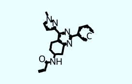 C=CC(=O)NC1CCc2c(nc(-c3ccccc3)nc2-c2ccn(C)n2)C1